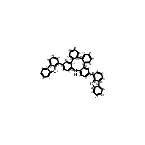 c1ccc2c(c1)oc1c(-c3ccc4[nH]c5ccc(-c6cccc7c6oc6ccccc67)cc5c5ccccc5c5ccccc5c4c3)cccc12